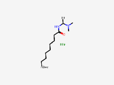 Br.CCCCCCCCCCCCCCCCCC(=O)NC(CC)N(C)C